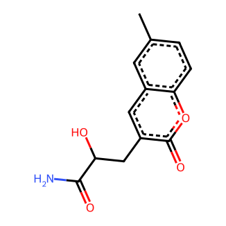 Cc1ccc2oc(=O)c(CC(O)C(N)=O)cc2c1